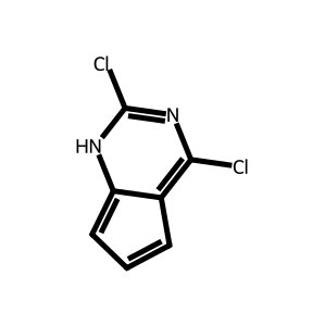 Clc1nc(Cl)c2cccc-2[nH]1